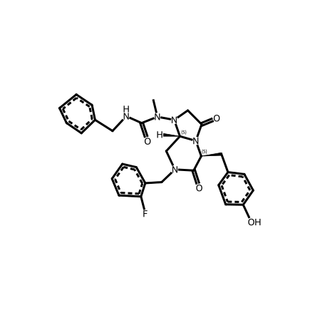 CN(C(=O)NCc1ccccc1)N1CC(=O)N2[C@@H](Cc3ccc(O)cc3)C(=O)N(Cc3ccccc3F)C[C@@H]21